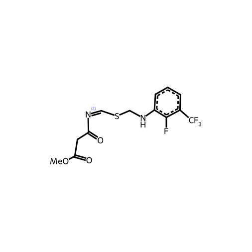 COC(=O)CC(=O)/N=C\SCNc1cccc(C(F)(F)F)c1F